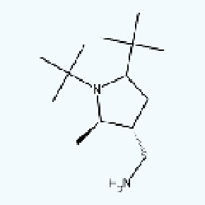 C[C@@H]1[C@@H](CN)CC(C(C)(C)C)N1C(C)(C)C